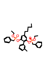 CCCCCc1cc(OP(=O)(Cc2ccccc2)OCC)c(-c2cccc(C)c2)c(OP(=O)(Cc2ccccc2)OCC)c1